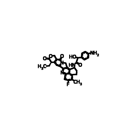 CC[C@H]1C(=O)OCc2c1cc1n(c2=O)Cc2c-1nc1cc(F)c(C)c3c1c2[C@@H](NC(=O)C(O)c1ccc(N)cc1)CC3